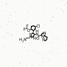 NCCn1cc(NC(O)c2cnc3cccnn23)c(-c2cc(Cl)ccc2OC(F)F)n1